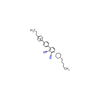 CCCCC[C@H]1CC[C@H](c2ccc(-c3ccc(C45CCC(CCC)(CC4)CC5)cc3)c(C#N)c2C#N)CC1